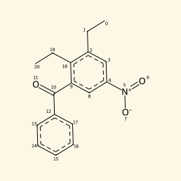 CCc1cc([N+](=O)[O-])cc(C(=O)c2ccccc2)c1CC